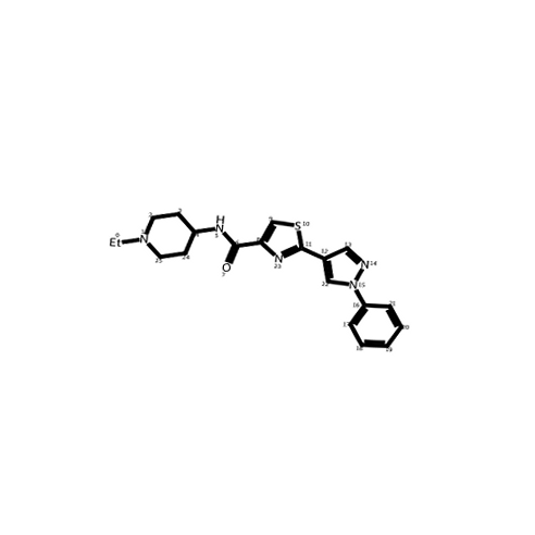 CCN1CCC(NC(=O)c2csc(-c3cnn(-c4ccccc4)c3)n2)CC1